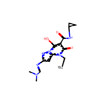 CN(C)/C=N/c1cc2n(CC(C)(C)C)c(=O)c(C(=O)NC3CC3)c(O)n2n1